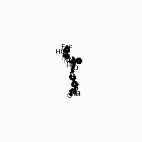 Nc1nnc(-c2cc(F)cc(F)c2O)cc1N1CCC(CNC(=O)CCCN2CCC(c3ccc(OC4CCC(=O)NC4=O)cc3)CC2)(c2ccccc2)CC1